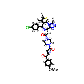 COc1ccc(C(=O)/C=C/C(=O)N2CCN(C(=O)C[C@@H]3N=C(c4ccc(Cl)cc4)c4c(sc(C)c4C)-n4c(C)nnc43)CC2)cc1